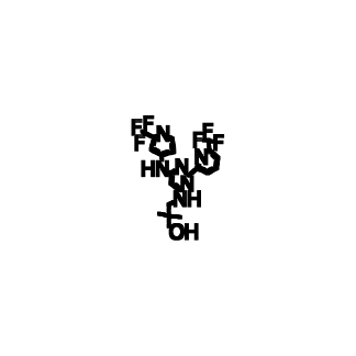 CC(C)(CO)CNc1cc(Nc2ccnc(C(F)(F)F)c2)nc(-c2cccc(C(F)(F)F)n2)n1